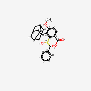 COc1ccc(C(=O)O)c([S+]([O-])Cc2ccccc2)c1C12CC3CC(CC(C3)C1)C2